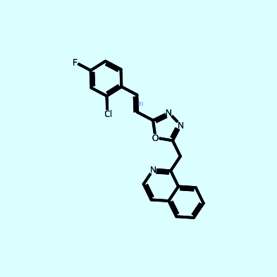 Fc1ccc(/C=C/c2nnc(Cc3nccc4ccccc34)o2)c(Cl)c1